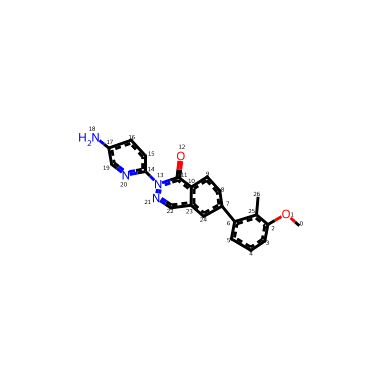 COc1cccc(-c2ccc3c(=O)n(-c4ccc(N)cn4)ncc3c2)c1C